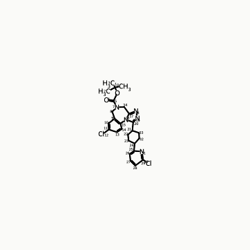 CC(C)(C)OC(=O)N1Cc2cc(Cl)ccc2-n2c(nnc2C2CCC(c3cccc(Cl)n3)CC2)C1